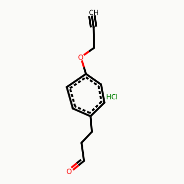 C#CCOc1ccc(CCC=O)cc1.Cl